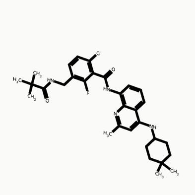 Cc1cc(NC2CCC(C)(C)CC2)c2cccc(NC(=O)c3c(Cl)ccc(CNC(=O)C(C)(C)C)c3F)c2n1